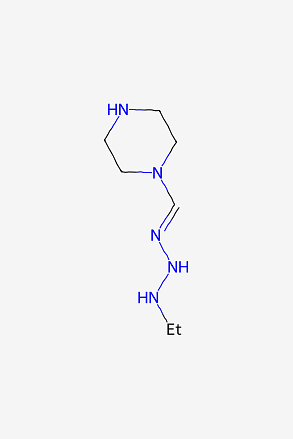 CCNNN=CN1CCNCC1